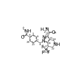 CNC(=O)c1ccc(Cn2nc(C(N)=O)c3c2C(C(F)(F)F)CNC3)cc1